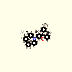 Cc1ccc2c(c1)[Si](c1ccccc1)(c1ccccc1)c1ccccc1N2c1ccc2c(c1)Oc1ccccc1B2c1c(C(C)C)cc(C(C)C)cc1C(C)C